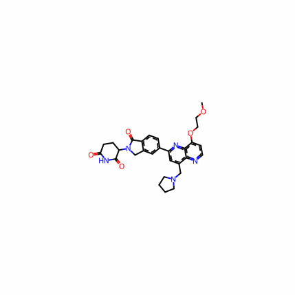 COCCOc1ccnc2c(CN3CCCC3)cc(-c3ccc4c(c3)CN(C3CCC(=O)NC3=O)C4=O)nc12